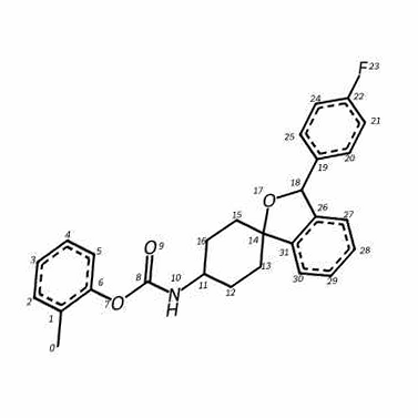 Cc1ccccc1OC(=O)NC1CCC2(CC1)OC(c1ccc(F)cc1)c1ccccc12